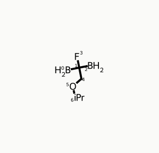 BC(B)(F)COC(C)C